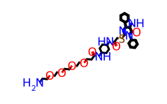 NCCOCCOCCOCCOCCC(=O)NC1CCC(NC(=O)CSc2nc3c([nH]c4ccccc43)c(=O)n2-c2ccccc2)CC1